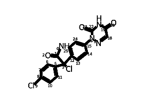 NC(=O)C(Cl)(c1ccc(Cl)cc1)c1ccc(-n2ncc(=O)[nH]c2=O)cc1